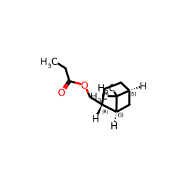 CCC(=O)OC[C@@H]1CC[C@H]2C[C@@H]1C2(C)C